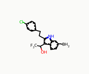 Bc1ccc2c(C(O)C(F)(F)F)c(CCc3ccc(Cl)cc3)[nH]c2c1